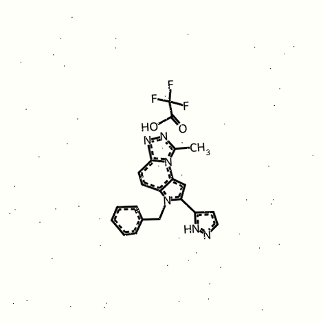 Cc1nnc2ccc3c(cc(-c4ccn[nH]4)n3Cc3ccccc3)n12.O=C(O)C(F)(F)F